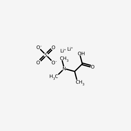 CC(C(=O)O)N(C)C.O=S(=O)([O-])[O-].[Li+].[Li+]